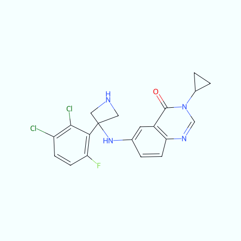 O=c1c2cc(NC3(c4c(F)ccc(Cl)c4Cl)CNC3)ccc2ncn1C1CC1